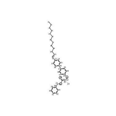 CCCCCCCCCCCCSc1ccc(-c2ccc(O[C@H](C)C(=O)OCc3ccccc3)cc2)cc1